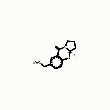 COCc1ccc2c(c1)C(=O)N1CCC[C@H]1O2